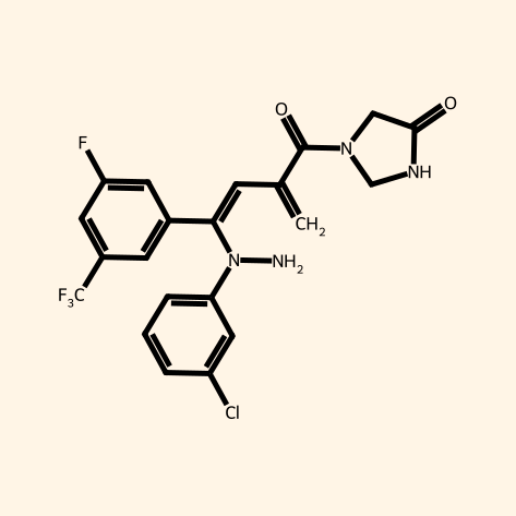 C=C(/C=C(/c1cc(F)cc(C(F)(F)F)c1)N(N)c1cccc(Cl)c1)C(=O)N1CNC(=O)C1